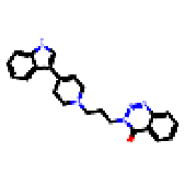 O=c1c2ccccc2nnn1CCCN1CC=C(c2c[nH]c3ccccc23)CC1